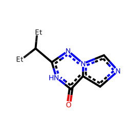 CCC(CC)c1nn2cncc2c(=O)[nH]1